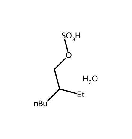 CCCCC(CC)COS(=O)(=O)O.O